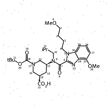 COCCCCn1c(C(=O)N(CC(C)C)[C@H]2C[C@@H](C(=O)O)CN(C(=O)OC(C)(C)C)C2)nc2c(OC)cccc21